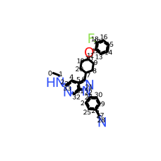 CCNc1cc2c(C3CCC(Oc4ccccc4F)CC3)nn(-c3ccc(C#N)cc3)c2cn1